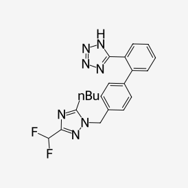 CCCCc1nc(C(F)F)nn1Cc1ccc(-c2ccccc2-c2nnn[nH]2)cc1